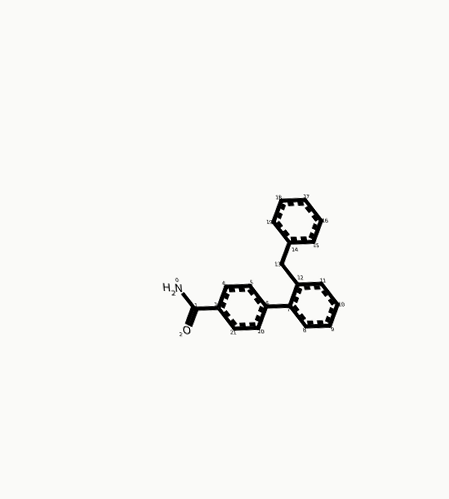 NC(=O)c1ccc(-c2ccccc2Cc2ccccc2)cc1